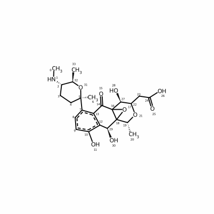 CN[C@H]1CC[C@](C)(c2ccc(O)c3c2C(=O)C24OC2([C@@H](C)OC(CC(=O)O)[C@@H]4O)[C@H]3O)O[C@@H]1C